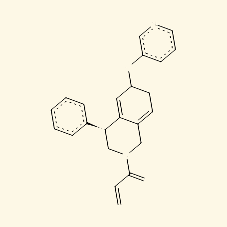 C=CC(=O)N1CC2=CCC(Oc3cccnc3)C=C2[C@H](c2ccccc2)C1